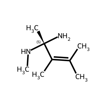 CN[C@](C)(N)C(C)=C(C)C